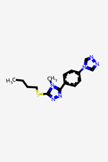 CCCCSc1nnc(-c2ccc(-n3cnnc3)cc2)n1C